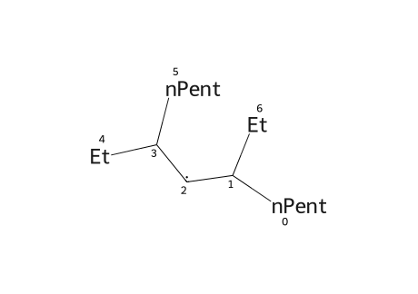 CCCCCC([CH]C(CC)CCCCC)CC